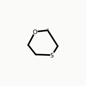 [C]1CSCCO1